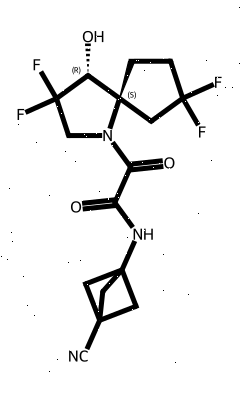 N#CC12CC(NC(=O)C(=O)N3CC(F)(F)[C@H](O)[C@@]34CCC(F)(F)C4)(C1)C2